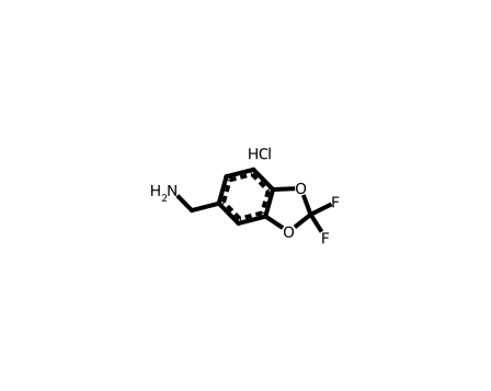 Cl.NCc1ccc2c(c1)OC(F)(F)O2